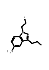 CCCc1nn(CCF)c2ccc(N)cc12